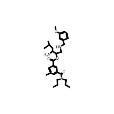 CCCN(CCC)C(=O)c1cc(C)cc(C(=O)OC(CNCc2cccc(OC)c2)C(N)CC(C)C)c1